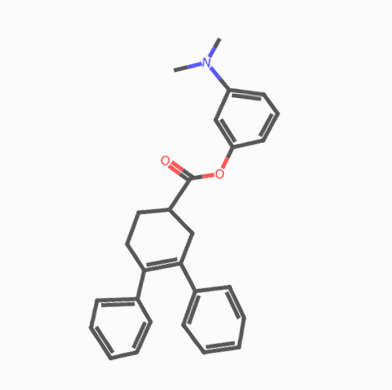 CN(C)c1cccc(OC(=O)C2CCC(c3ccccc3)=C(c3ccccc3)C2)c1